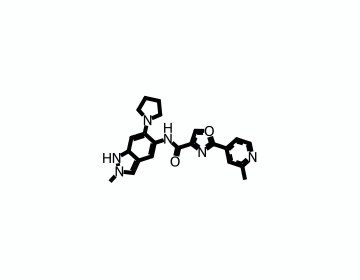 Cc1cc(-c2nc(C(=O)NC3=CC4=CN(C)NC4C=C3N3CCCC3)co2)ccn1